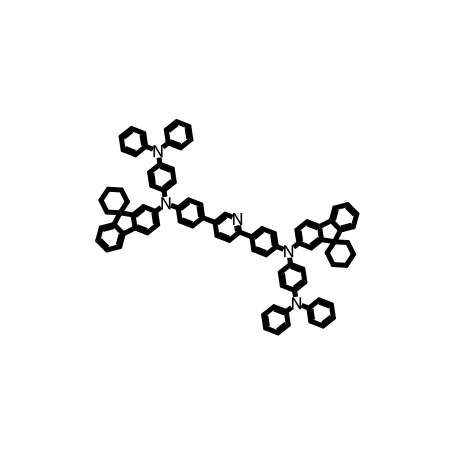 c1ccc(N(c2ccccc2)c2ccc(N(c3ccc(-c4ccc(-c5ccc(N(c6ccc(N(c7ccccc7)c7ccccc7)cc6)c6ccc7c(c6)C6(CCCCC6)c6ccccc6-7)cc5)nc4)cc3)c3ccc4c(c3)C3(CCCCC3)c3ccccc3-4)cc2)cc1